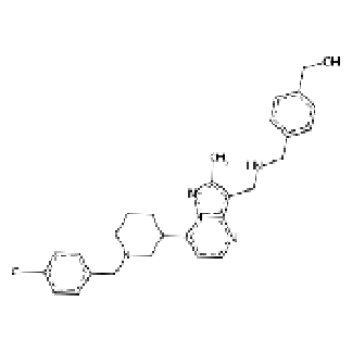 Cc1nn2c(C3CCCN(Cc4ccc(Cl)cc4)C3)ccnc2c1CNCc1ccc(CO)cc1